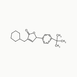 CC(C)(C)c1ccc(C2C=C(CC3CCCCC3)C(=O)O2)cc1